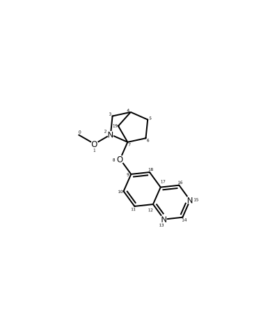 CON1CC2CCC1(Oc1ccc3ncncc3c1)C2